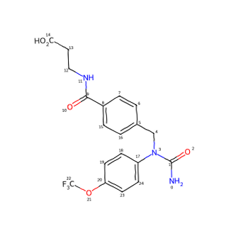 NC(=O)N(Cc1ccc(C(=O)NCCC(=O)O)cc1)c1ccc(OC(F)(F)F)cc1